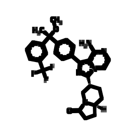 CO[C@](C)(c1ccc(-c2nc([C@@H]3CC[C@H]4CCC(=O)N4C3)n3ccnc(N)c23)cc1)c1cccc(C(F)(F)F)c1